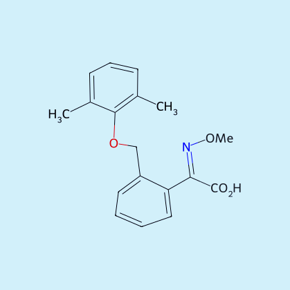 CON=C(C(=O)O)c1ccccc1COc1c(C)cccc1C